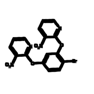 O=[N+]([O-])c1cccnc1Oc1ccc(Br)c(Oc2ncccc2[N+](=O)[O-])c1